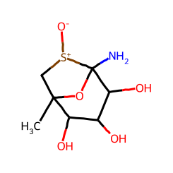 CC12C[S+]([O-])C(N)(O1)C(O)C(O)C2O